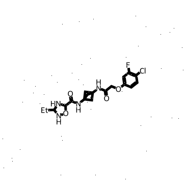 CCC1NOC(C(=O)NC23CC(NC(=O)COc4ccc(Cl)c(F)c4)(C2)C3)N1